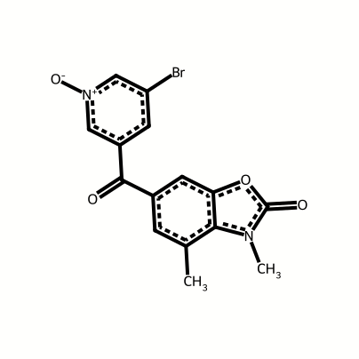 Cc1cc(C(=O)c2cc(Br)c[n+]([O-])c2)cc2oc(=O)n(C)c12